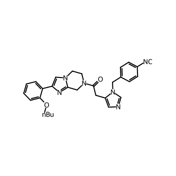 [C-]#[N+]c1ccc(Cn2cncc2CC(=O)N2CCn3cc(-c4ccccc4OCCCC)nc3C2)cc1